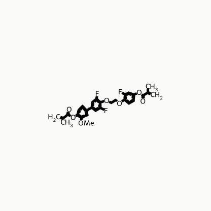 C=C(C)C(=O)Oc1ccc(OCCOc2c(F)cc(-c3ccc(OC(=O)C(=C)C)c(OC)c3)cc2F)c(F)c1